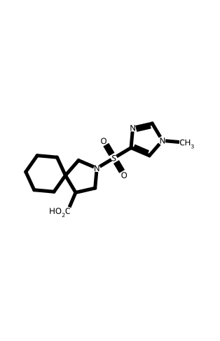 Cn1cnc(S(=O)(=O)N2CC(C(=O)O)C3(CCCCC3)C2)c1